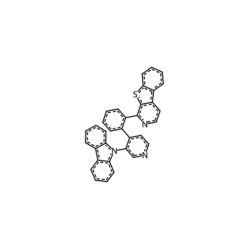 c1ccc(-c2nccc3c2sc2ccccc23)c(-c2ccncc2-n2c3ccccc3c3ccccc32)c1